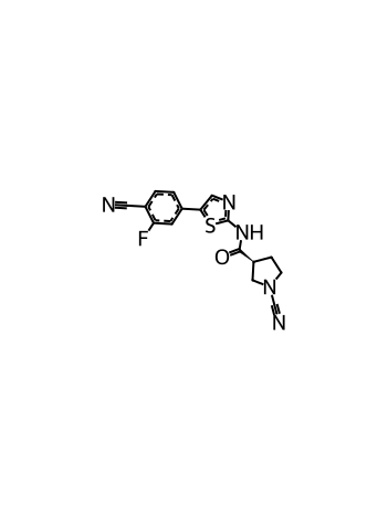 N#Cc1ccc(-c2cnc(NC(=O)[C@H]3CCN(C#N)C3)s2)cc1F